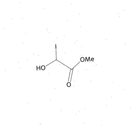 COC(=O)C(O)I